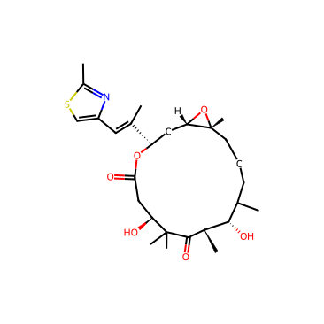 C/C(=C\c1csc(C)n1)[C@@H]1C[C@@H]2O[C@]2(C)CCCC(C)[C@H](O)[C@@H](C)C(=O)C(C)(C)[C@@H](O)CC(=O)O1